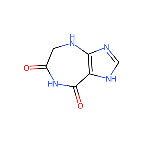 O=C1CNc2nc[nH]c2C(=O)N1